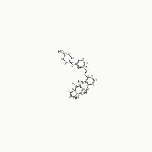 Cc1c(Nc2c(C#N)cncc2/C=C/c2cccc(CN3CCC(O)CC3)n2)ccc2[nH]ccc12